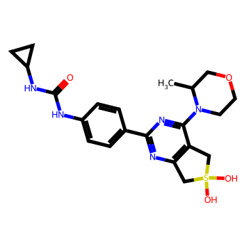 CC1COCCN1c1nc(-c2ccc(NC(=O)NC3CC3)cc2)nc2c1CS(O)(O)C2